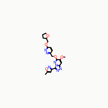 COc1cc2nnc(-c3cc(C)on3)n2nc1OCc1ccc(OCC2CCCO2)nn1